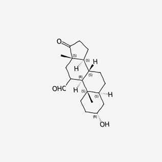 C[C@]12CC[C@@H](O)C[C@@H]1CC[C@@H]1[C@@H]2C(C=O)C[C@]2(C)C(=O)CC[C@@H]12